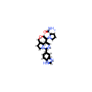 NC(=O)[C@@H]1CCCN1C1=COCC2=C3C1=CN=C(c1ccc4[nH]cnc4c1)N3CC2